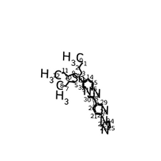 CCC[CH2][Sn]([CH2]CCC)([CH2]CCC)[c]1ccc2nc(-c3ccc(-n4ccnc4)nc3)cn2c1